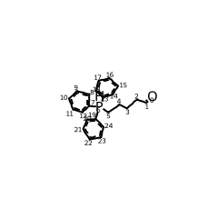 O=CCCCC[PH](c1ccccc1)(c1ccccc1)c1ccccc1